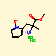 COC(=O)C(C)(N)Cc1cccc[n+]1[O-].Cl.Cl